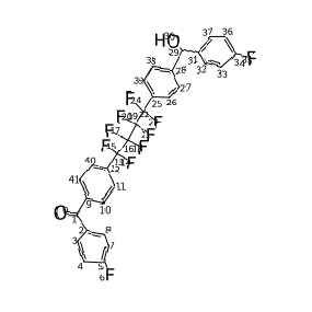 O=C(c1ccc(F)cc1)c1ccc(C(F)(F)C(F)(F)C(F)(F)C(F)(F)c2ccc(C(O)c3ccc(F)cc3)cc2)cc1